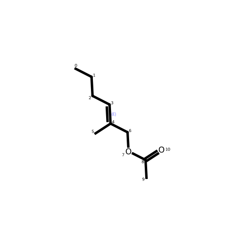 CCC/C=C(\C)COC(C)=O